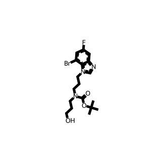 CC(C)(C)OC(=O)N(CCCO)CCCn1cnc2cc(F)cc(Br)c21